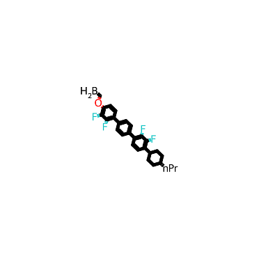 BCOc1ccc(-c2ccc(-c3ccc(C4CCC(CCC)CC4)c(F)c3F)cc2)c(F)c1F